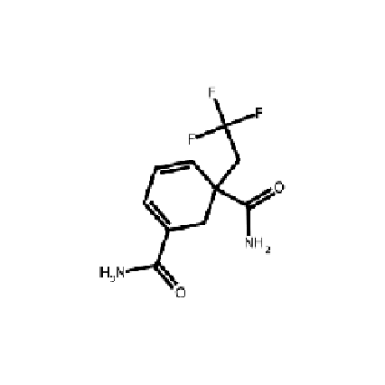 NC(=O)C1=CC=CC(CC(F)(F)F)(C(N)=O)C1